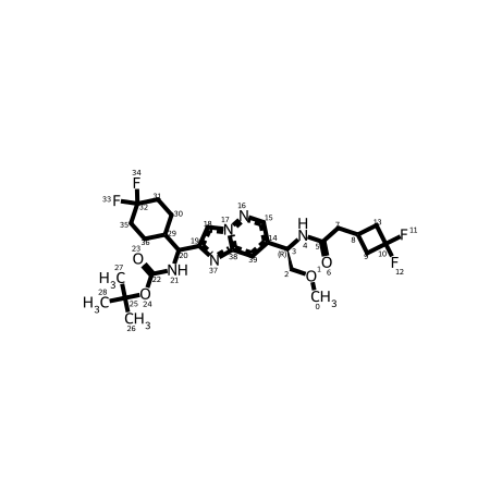 COC[C@H](NC(=O)CC1CC(F)(F)C1)c1cnn2cc(C(NC(=O)OC(C)(C)C)C3CCC(F)(F)CC3)nc2c1